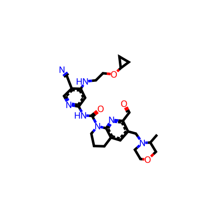 CC1COCCN1Cc1cc2c(nc1C=O)N(C(=O)Nc1cc(NCCOC3CC3)c(C#N)cn1)CCC2